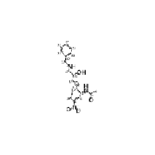 CC(=O)Nc1cc([N+](=O)[O-])ccc1OCC(O)CNCc1ccccc1